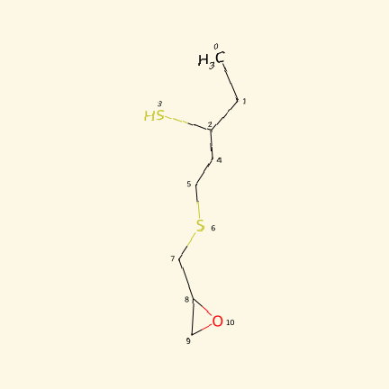 CCC(S)CCSCC1CO1